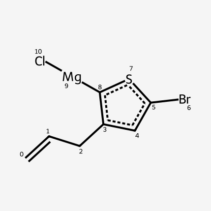 C=CCc1cc(Br)s[c]1[Mg][Cl]